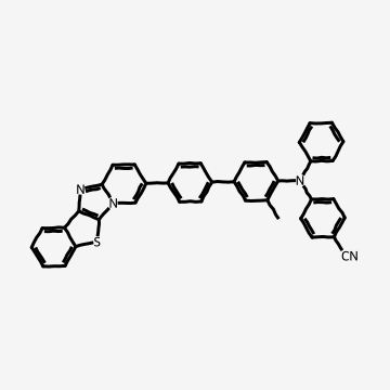 Cc1cc(-c2ccc(-c3ccc4nc5c6ccccc6sc5n4c3)cc2)ccc1N(c1ccccc1)c1ccc(C#N)cc1